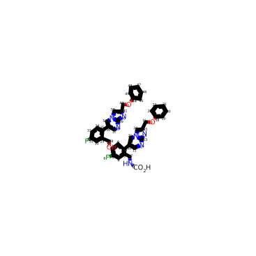 O=C(O)NCc1cc(F)ccc1-c1cnc2nc(COc3ccccc3)cn2c1.OCc1cc(F)ccc1-c1cnc2nc(COc3ccccc3)cn2c1